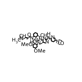 COc1cc(OC)c(Cl)c(N2Cc3cnc(Nc4ccc(N5CCOCC5)cn4)nc3N(C(C)c3cccc(NC(=O)/C=C/CN(C)C)c3)C2=O)c1